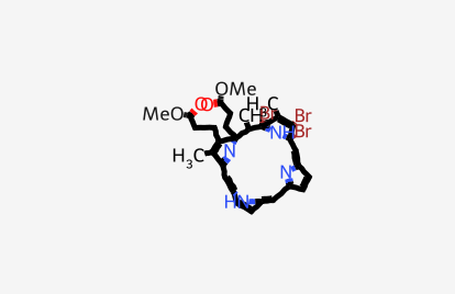 COC(=O)CCC1=C(C)C2=NC1(CCC(=O)OC)C(C)C1(Br)NC(Br)(/C=C3/C=CC(=N3)/C=c3/cc/c([nH]3)=C/2)C(Br)=C1C